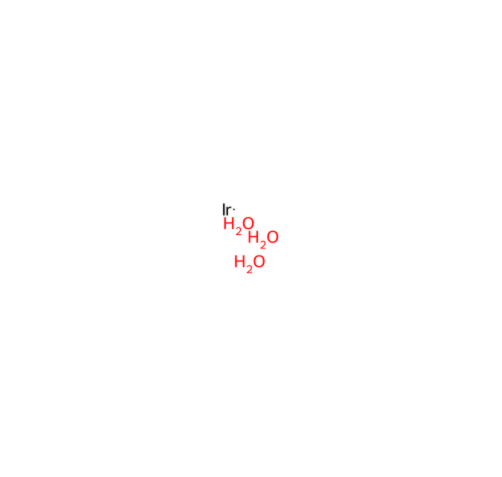 O.O.O.[Ir]